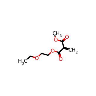 C=C(C(=O)OC)C(=O)OCCOCC